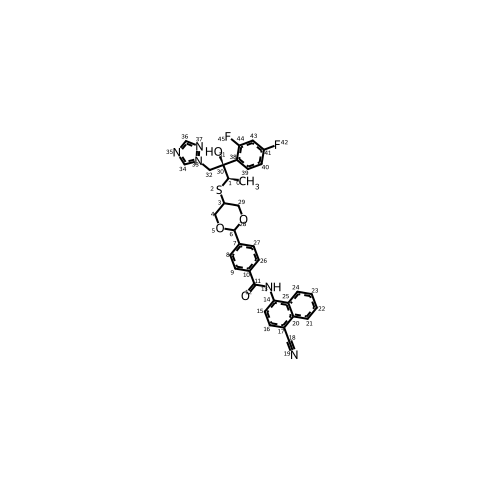 C[C@@H](SC1COC(c2ccc(C(=O)Nc3ccc(C#N)c4ccccc34)cc2)OC1)[C@](O)(Cn1cncn1)c1ccc(F)cc1F